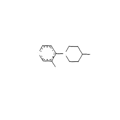 O=[N+]([O-])c1cnccc1N1CCC(F)CC1